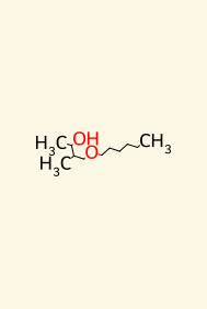 CCCCCCOCC(C)C(C)O